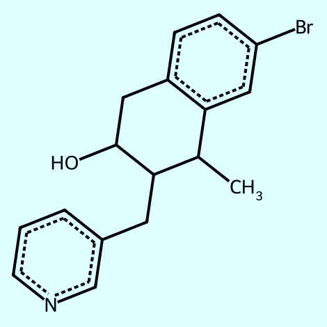 CC1c2cc(Br)ccc2CC(O)C1Cc1cccnc1